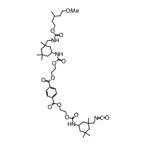 COCCC(C)CCOC(=O)NCC1(C)CC(NC(=O)OCCOC(=O)c2ccc(C(=O)OCCOC(=O)NC3CC(C)(C)CC(C)(CN=C=O)C3)cc2)CC(C)(C)C1